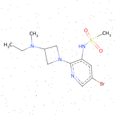 CCN(C)C1CN(c2ncc(Br)cc2NS(C)(=O)=O)C1